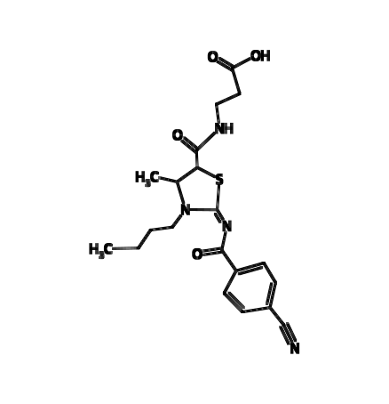 CCCCN1C(=NC(=O)c2ccc(C#N)cc2)SC(C(=O)NCCC(=O)O)C1C